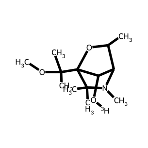 [3H]OC1C2C(C)OC1(C(C)(C)OC)C(C)(C)N2C